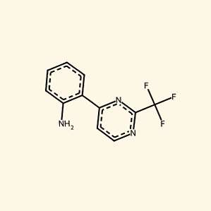 Nc1ccccc1-c1ccnc(C(F)(F)F)n1